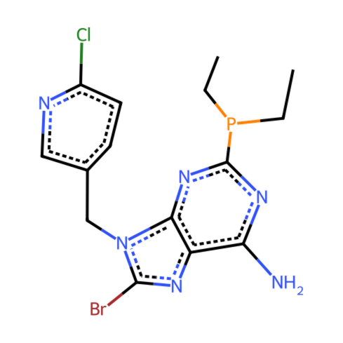 CCP(CC)c1nc(N)c2nc(Br)n(Cc3ccc(Cl)nc3)c2n1